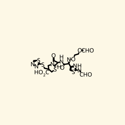 O=CNc1nc(C(=NOCCOC=O)C(=O)NC2C(=O)N3CC(CSc4nncs4)(C(=O)O)CS[C@H]23)cs1